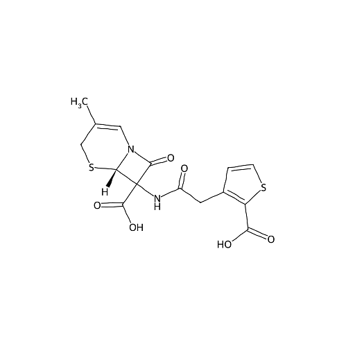 CC1=CN2C(=O)C(NC(=O)Cc3ccsc3C(=O)O)(C(=O)O)[C@@H]2SC1